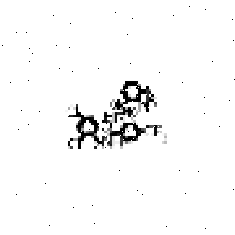 C[C@@H](NC(=O)c1ccc(C(F)(F)F)cc1NS(=O)(=O)c1cccc2nsnc12)c1ccc(Cl)cc1Cl